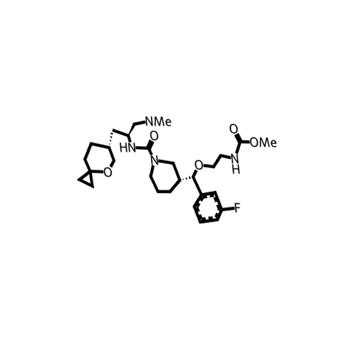 CNC[C@H](C[C@H]1CCC2(CC2)OC1)NC(=O)N1CCC[C@@H](C(OCCNC(=O)OC)c2cccc(F)c2)C1